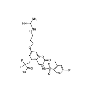 Cc1cc(Br)ccc1S(=O)(=O)N[C@@H](Cc1ccc(OCCCONC(=N)N)cc1)C(=O)O.O=C(O)C(F)(F)F